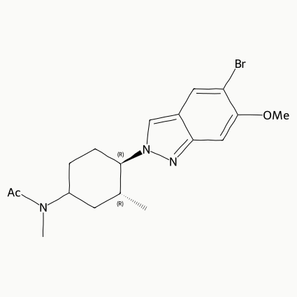 COc1cc2nn([C@@H]3CCC(N(C)C(C)=O)C[C@H]3C)cc2cc1Br